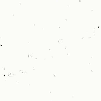 CNCCNC(=O)c1cccc(COc2ccc(C(F)(F)F)cc2Cl)c1